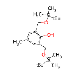 Cc1cc(CO[Si](C)(C)C(C)(C)C)c(O)c(CO[Si](C)(C)C(C)(C)C)c1